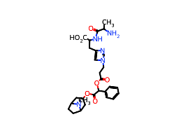 CC(N)C(=O)NC(Cc1cn(CCC(=O)OC(C(=O)OC2CC3CCC(C2)N3C)c2ccccc2)cn1)C(=O)O